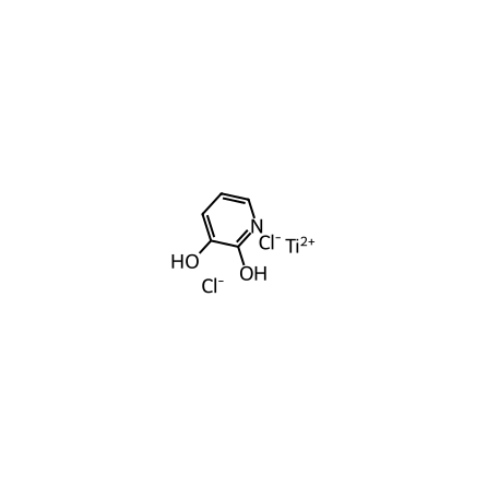 Oc1cccnc1O.[Cl-].[Cl-].[Ti+2]